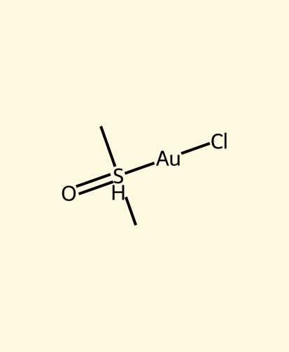 C[SH](C)(=O)[Au][Cl]